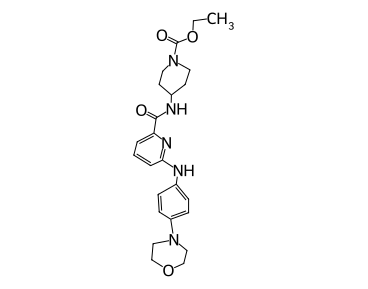 CCOC(=O)N1CCC(NC(=O)c2cccc(Nc3ccc(N4CCOCC4)cc3)n2)CC1